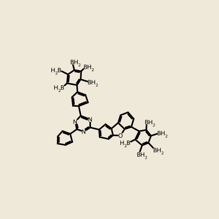 Bc1c(B)c(B)c(-c2ccc(-c3nc(-c4ccccc4)nc(-c4ccc5oc6c(-c7c(B)c(B)c(B)c(B)c7B)cccc6c5c4)n3)cc2)c(B)c1B